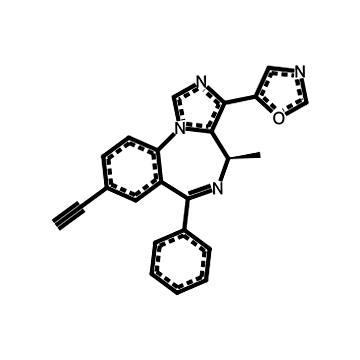 C#Cc1ccc2c(c1)C(c1ccccc1)=N[C@H](C)c1c(-c3cnco3)ncn1-2